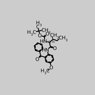 CC[C@H](C)[C@H](NC(=O)OC(C)(C)C)C(=O)Nc1ccc(OC)cc1C(=O)c1ccccc1